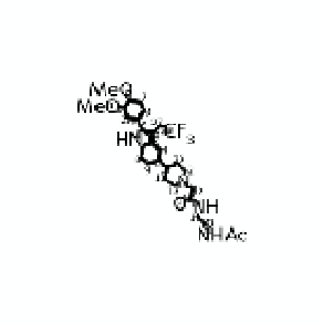 COc1ccc(-c2[nH]c3ccc(C4CCN(CC(=O)NCCNC(C)=O)CC4)cc3c2CC(F)(F)F)cc1OC